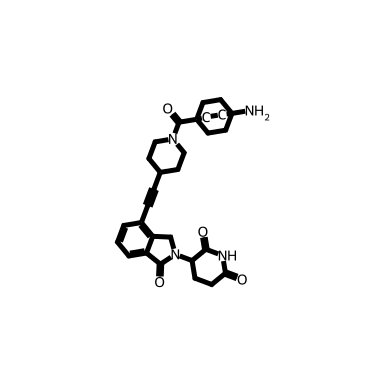 NC12CCC(C(=O)N3CCC(C#Cc4cccc5c4CN(C4CCC(=O)NC4=O)C5=O)CC3)(CC1)CC2